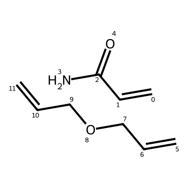 C=CC(N)=O.C=CCOCC=C